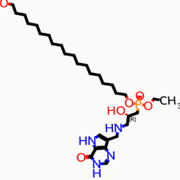 CCOP(=O)(C[C@H](O)CNCc1c[nH]c2c(=O)[nH]cnc12)OCCCCCCCCCCCCCCCCCCCO